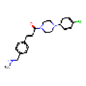 CC(C)(C)NCc1ccc(/C=C/C(=O)N2CCN(C3C=CC(Cl)=CC3)CC2)cc1